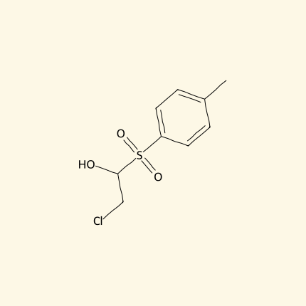 Cc1ccc(S(=O)(=O)C(O)CCl)cc1